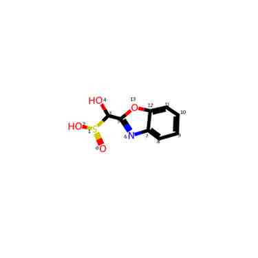 O=S(O)C(O)c1nc2ccccc2o1